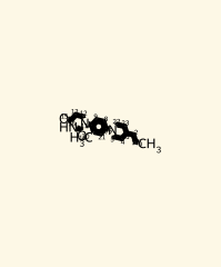 CCCC1CCN(c2ccc(N3CCC(=O)NC3=O)c(C)c2)CC1